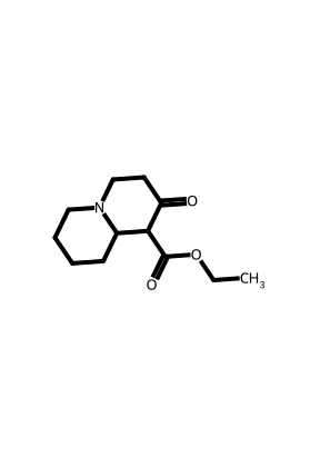 CCOC(=O)C1C(=O)CCN2CCCCC12